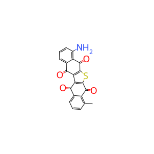 Cc1cccc2c(=O)c3c(sc4c(=O)c5c(N)cccc5c(=O)c43)c(=O)c12